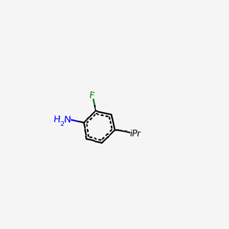 CC(C)c1ccc(N)c(F)c1